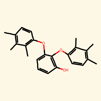 Cc1ccc(Oc2cccc(O)c2Oc2ccc(C)c(C)c2C)c(C)c1C